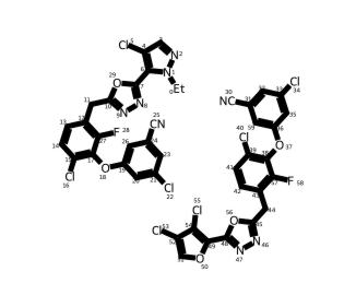 CCn1ncc(Cl)c1-c1nnc(Cc2ccc(Cl)c(Oc3cc(Cl)cc(C#N)c3)c2F)o1.N#Cc1cc(Cl)cc(Oc2c(Cl)ccc(Cc3nnc(-c4occ(Cl)c4Cl)o3)c2F)c1